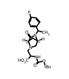 CC(c1ccc(F)cc1)N1C(=O)[C@@H]2C[C@H]1CN2CC(NC(=O)OC(C)(C)C)C(=O)O